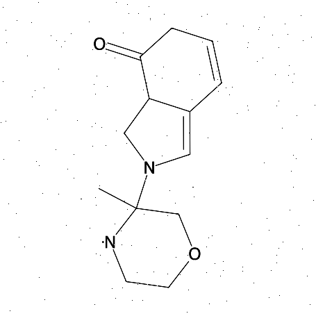 CC1(N2C=C3C=CCC(=O)C3C2)COCC[N]1